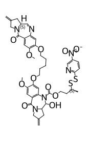 C=C1CC2C(O)N(C(=O)OCC[C@H](C)SSc3ccc([N+](=O)[O-])cn3)c3cc(OCCCCCOc4cc5c(cc4OC)C(=O)N4CC(=C)C[C@H]4C=N5)c(OC)cc3C(=O)N2C1